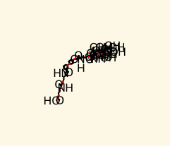 CC(=O)N[C@H]1[C@H](OCCCNC(=O)COc2ccc(-c3cccc(C(=O)NCCCCCC(=O)NCCCCCC(=O)O)c3)cc2)O[C@H](CO)[C@@H](O[C@@H]2O[C@H](CO)[C@H](O)[C@H](O[C@H]3O[C@H](CO)[C@H](O)[C@H](O)[C@H]3O)[C@H]2O)[C@@H]1O